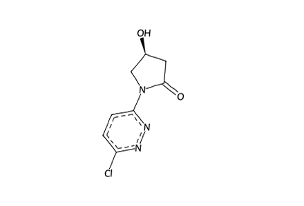 O=C1C[C@H](O)CN1c1ccc(Cl)nn1